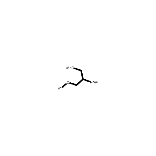 CNC(COC)COC(C)C